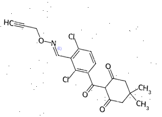 C#CCO/N=C/c1c(Cl)ccc(C(=O)C2C(=O)CC(C)(C)CC2=O)c1Cl